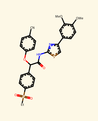 CCS(=O)(=O)c1ccc(C(Oc2ccc(C#N)cc2)C(=O)Nc2nc(-c3ccc(OC)c(OC)c3)cs2)cc1